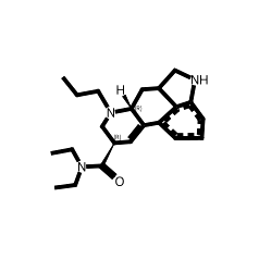 CCCN1C[C@H](C(=O)N(CC)CC)C=C2c3cccc4c3C(CN4)C[C@H]21